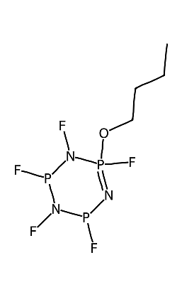 CCCCOP1(F)=NP(F)N(F)P(F)N1F